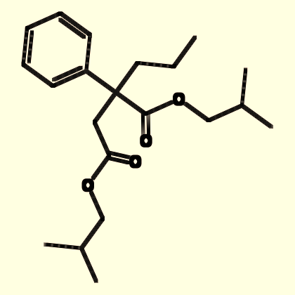 CCCC(CC(=O)OCC(C)C)(C(=O)OCC(C)C)c1ccccc1